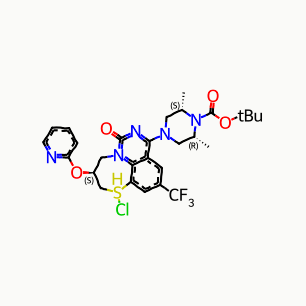 C[C@@H]1CN(c2nc(=O)n3c4c(cc(C(F)(F)F)cc24)[SH](Cl)C[C@@H](Oc2ccccn2)C3)C[C@H](C)N1C(=O)OC(C)(C)C